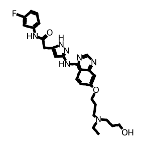 CCN(CCCO)CCCOc1ccc2c(Nc3cc(CC(=O)Nc4cccc(F)c4)[nH]n3)ncnc2c1